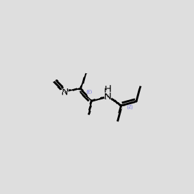 C=N/C(C)=C(\C)N/C(C)=C\C